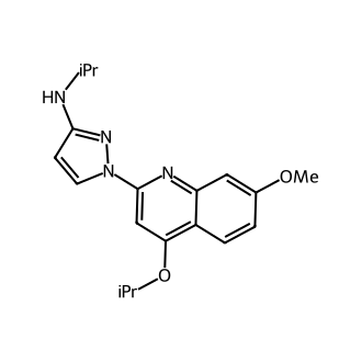 COc1ccc2c(OC(C)C)cc(-n3ccc(NC(C)C)n3)nc2c1